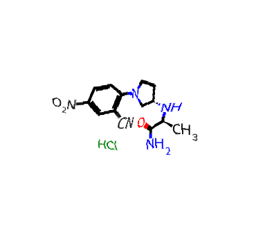 C[C@H](N[C@H]1CCN(c2ccc([N+](=O)[O-])cc2C#N)C1)C(N)=O.Cl